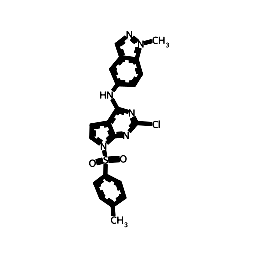 Cc1ccc(S(=O)(=O)n2ccc3c(Nc4ccc5c(cnn5C)c4)nc(Cl)nc32)cc1